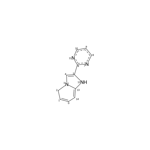 C1=CCN2C=C(c3ncccn3)NC2=C1